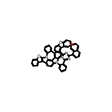 c1ccc(-n2c3cccc4c5ccccc5n5c6oc7ccccc7c6c6ccc2c(c43)c65)c(-c2nc(-c3cccc4ccccc34)nc(-c3cccc4oc5ccccc5c34)n2)c1